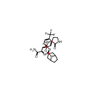 NC(=O)c1cc(N[C@H]2CCNC2=O)nc(N2C3CCC2CC(Oc2ccc(C(F)(F)F)cn2)C3)n1